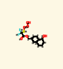 O=C(OCc1ccc2c(O)cccc2c1)C(F)(F)SOOO